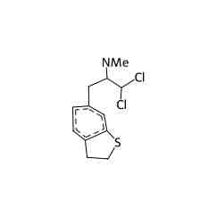 CNC(Cc1ccc2c(c1)SCC2)C(Cl)Cl